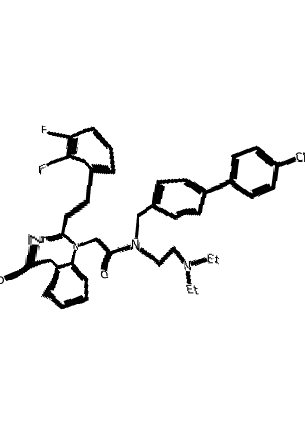 CCN(CC)CCN(Cc1ccc(-c2ccc(C#N)cc2)cc1)C(=O)Cn1c(CCc2cccc(F)c2F)nc(=O)c2ccccc21